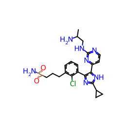 CC(N)CNc1nccc(-c2[nH]c(C3CC3)nc2-c2cccc(CCCS(N)(=O)=O)c2Cl)n1